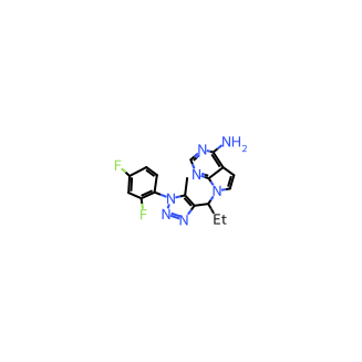 CCC(c1nnn(-c2ccc(F)cc2F)c1C)n1ccc2c(N)ncnc21